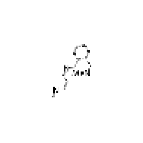 C=N/C=C\C=N/Cc1ccccc1CNC